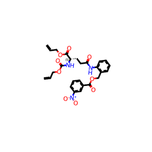 C=CCOC(=O)N[C@@H](CCC(=O)Nc1ccccc1COC(=O)c1cccc([N+](=O)[O-])c1)C(=O)OCC=C